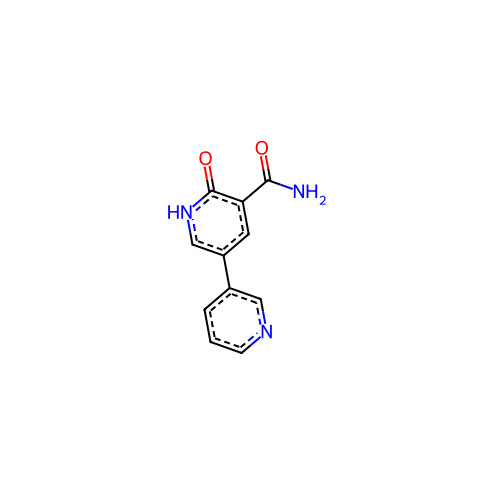 NC(=O)c1cc(-c2cccnc2)c[nH]c1=O